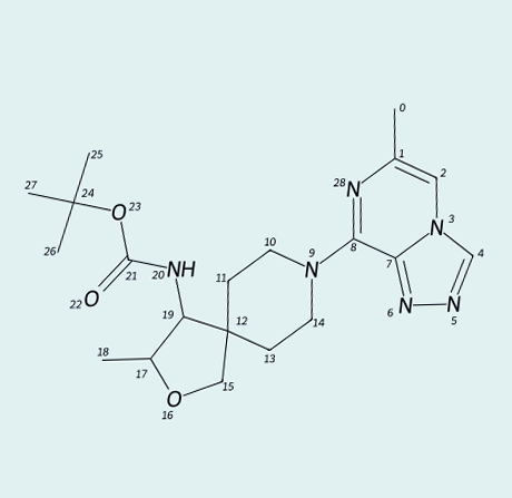 Cc1cn2cnnc2c(N2CCC3(CC2)COC(C)C3NC(=O)OC(C)(C)C)n1